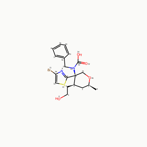 C[C@H]1C[C@@H](CCO)[C@@](c2nc(Br)cs2)(N(Cc2ccccc2)C(=O)O)CO1